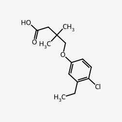 CCc1cc(OCC(C)(C)CC(=O)O)ccc1Cl